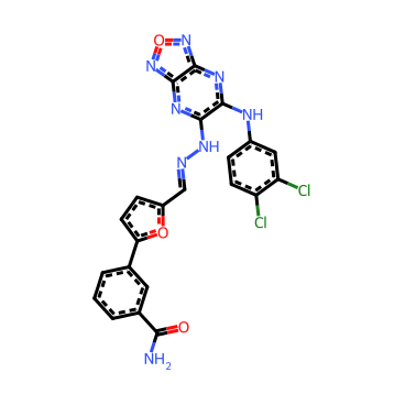 NC(=O)c1cccc(-c2ccc(C=NNc3nc4nonc4nc3Nc3ccc(Cl)c(Cl)c3)o2)c1